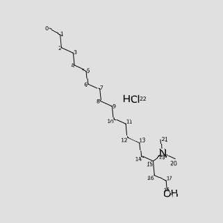 CCCCCCCCCCCCCCCC(CCO)N(C)C.Cl